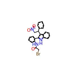 O=C(CBr)Nc1ccccc1-c1[nH]c2ccccc2c1C(C[N+](=O)[O-])c1ccccc1